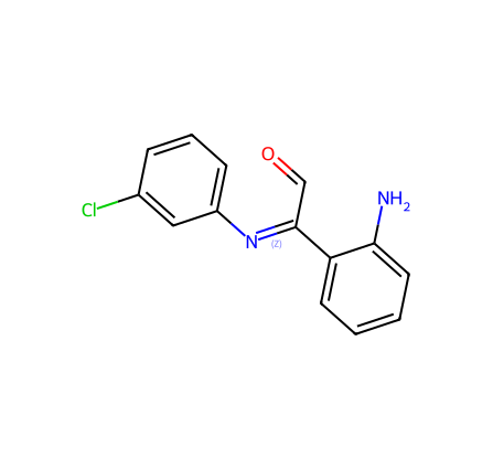 Nc1ccccc1/C(C=O)=N/c1cccc(Cl)c1